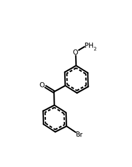 O=C(c1cccc(Br)c1)c1cccc(OP)c1